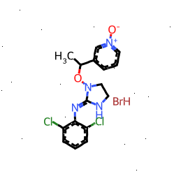 Br.CC(ON1CCN/C1=N\c1c(Cl)cccc1Cl)c1ccc[n+]([O-])c1